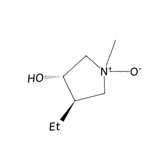 CC[C@@H]1C[N+](C)([O-])C[C@H]1O